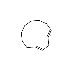 [CH]1/C=C/CCCCCCC/C=C/1